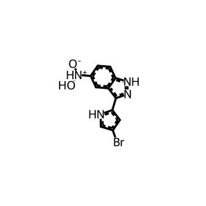 [O-][NH+](O)c1ccc2[nH]nc(-c3cc(Br)c[nH]3)c2c1